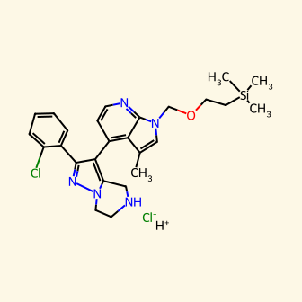 Cc1cn(COCC[Si](C)(C)C)c2nccc(-c3c(-c4ccccc4Cl)nn4c3CNCC4)c12.[Cl-].[H+]